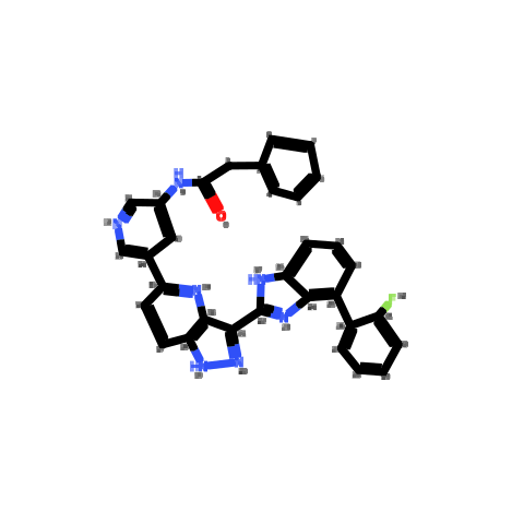 O=C(Cc1ccccc1)Nc1cncc(-c2ccc3[nH]nc(-c4nc5c(-c6ccccc6F)cccc5[nH]4)c3n2)c1